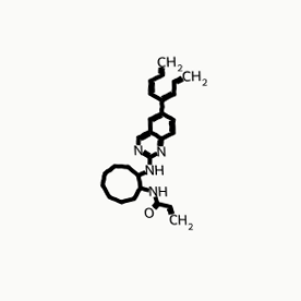 C=C/C=C\C(=C/C=C)c1ccc2nc(NC3CCCCCCCC3NC(=O)C=C)ncc2c1